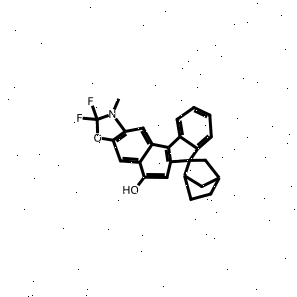 CN1c2cc3c4c(cc(O)c3cc2OC1(F)F)C1(CC2CCC1C2)c1ccccc1-4